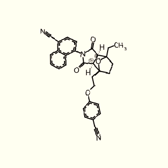 CCC12CCC(CCOc3ccc(C#N)cc3)(O1)[C@H]1C(=O)N(c3ccc(C#N)c4ccccc34)C(=O)[C@H]12